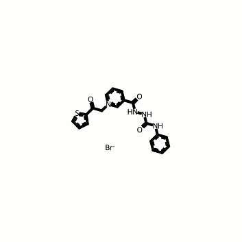 O=C(NNC(=O)c1ccc[n+](CC(=O)c2cccs2)c1)Nc1ccccc1.[Br-]